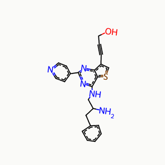 NC(CNc1nc(-c2ccncc2)nc2c(C#CCO)csc12)Cc1ccccc1